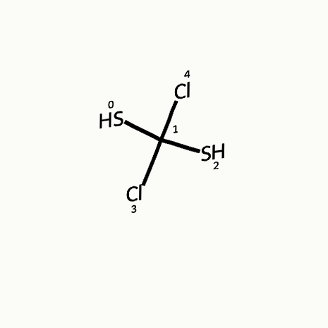 SC(S)(Cl)Cl